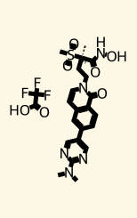 CN(C)c1ncc(-c2ccc3c(=O)n(CC[C@](C)(C(=O)NO)S(C)(=O)=O)ccc3c2)cn1.O=C(O)C(F)(F)F